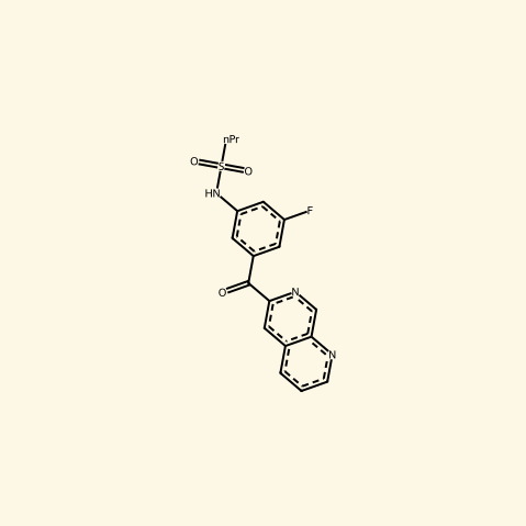 CCCS(=O)(=O)Nc1cc(F)cc(C(=O)c2cc3cccnc3cn2)c1